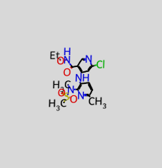 CCONC(=O)c1cnc(Cl)cc1Nc1ccc(C)nc1N(C)S(C)(=O)=O